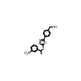 CC(Sc1nnc(-c2ccc(CO)cc2)o1)c1cccc([N+](=O)[O-])c1